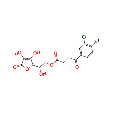 O=C(CCC(=O)c1ccc(Cl)c(Cl)c1)OCC(O)C1OC(=O)C(O)=C1O